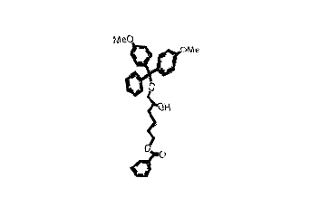 COc1ccc(C(OCC(O)CCCCOC(=O)c2ccccc2)(c2ccccc2)c2ccc(OC)cc2)cc1